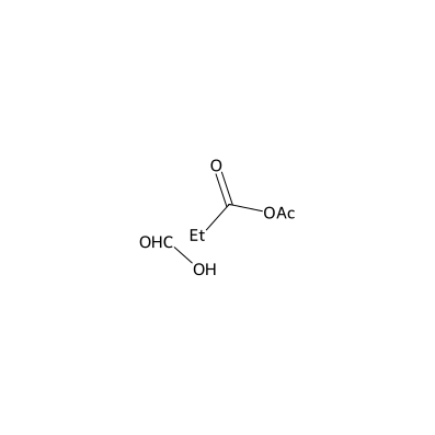 CCC(=O)OC(C)=O.O=CO